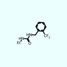 [CH2]CNC(=O)NCc1ccccc1C(F)(F)F